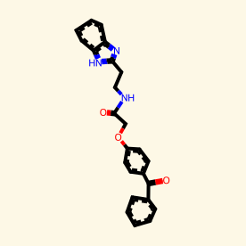 O=C(COc1ccc(C(=O)c2ccccc2)cc1)NCCc1nc2ccccc2[nH]1